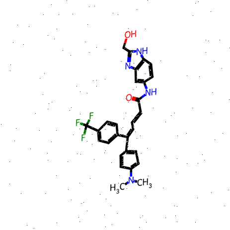 CN(C)c1ccc(/C(=C/C=C/C(=O)Nc2ccc3[nH]c(CO)nc3c2)c2ccc(C(F)(F)F)cc2)cc1